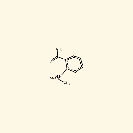 COC.NC(=O)c1ccccc1N